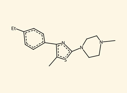 CCc1ccc(-c2nc(N3CCN(C)CC3)sc2C)cc1